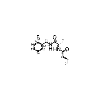 CC=CC(=O)N[C@@H](C)C(=O)NCc1ccccc1F